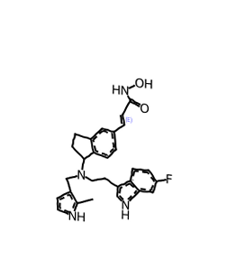 Cc1[nH]ccc1CN(CCc1c[nH]c2cc(F)ccc12)C1CCc2cc(/C=C/C(=O)NO)ccc21